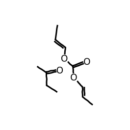 CC=COC(=O)OC=CC.CCC(C)=O